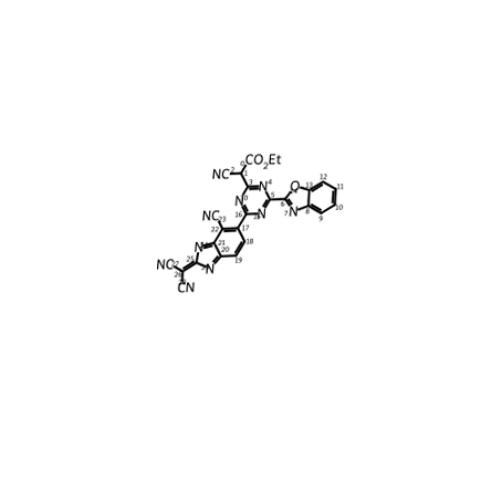 CCOC(=O)C(C#N)c1nc(-c2nc3ccccc3o2)nc(-c2ccc3c(c2C#N)=NC(=C(C#N)C#N)N=3)n1